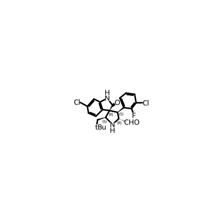 CC(C)(C)C[C@@H]1N[C@@H](C=O)[C@H](c2cccc(Cl)c2F)[C@]12C(=O)Nc1cc(Cl)ccc12